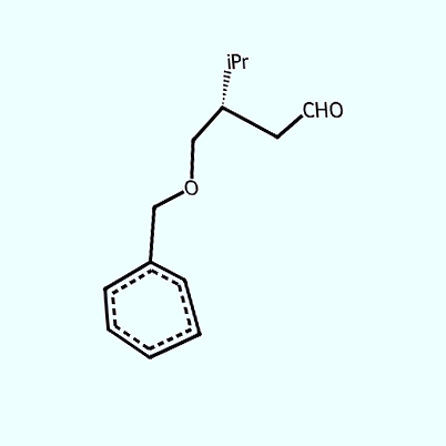 CC(C)[C@H](CC=O)COCc1ccccc1